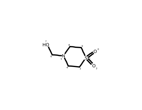 O=S1(=O)CCN(CO)CC1